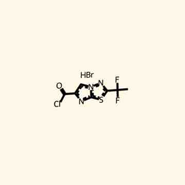 Br.CC(F)(F)c1nn2cc(C(=O)Cl)nc2s1